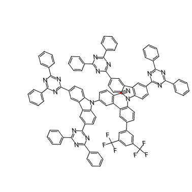 N#Cc1ccc(-n2c3ccc(-c4nc(-c5ccccc5)nc(-c5ccccc5)n4)cc3c3cc(-c4nc(-c5ccccc5)nc(-c5ccccc5)n4)ccc32)cc1-c1cc(-c2cc(C(F)(F)F)cc(C(F)(F)F)c2)ccc1-n1c2ccc(-c3nc(-c4ccccc4)nc(-c4ccccc4)n3)cc2c2cc(-c3nc(-c4ccccc4)nc(-c4ccccc4)n3)ccc21